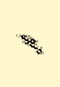 CC/C=C(OCCCCCN1CCNCC1=O)\C(=C(/Cc1cc(C(F)(F)F)nn1C)OC(C)=O)C1C=C(C(F)(F)F)C(Cl)=CC1